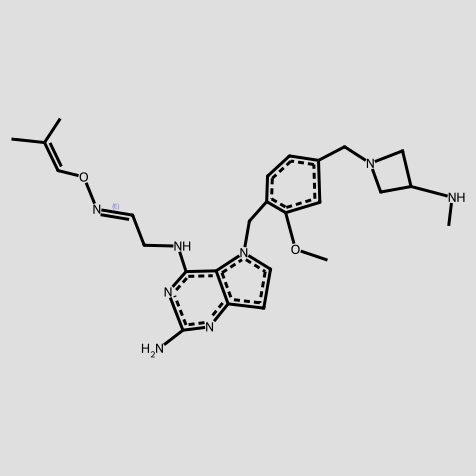 CNC1CN(Cc2ccc(Cn3ccc4nc(N)nc(NC/C=N/OC=C(C)C)c43)c(OC)c2)C1